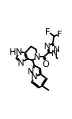 Cc1ccn2nc(C3c4nc[nH]c4CCN3C(=O)c3nc(C(F)F)nn3C)cc2c1